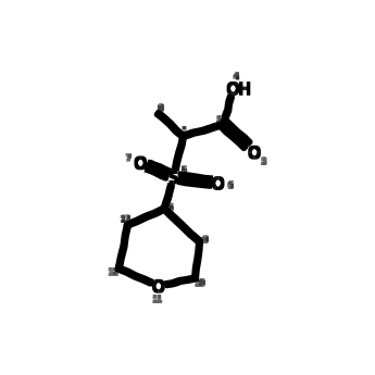 CC(C(=O)O)S(=O)(=O)C1CCOCC1